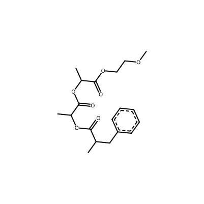 COCCOC(=O)C(C)OC(=O)C(C)OC(=O)C(C)Cc1ccccc1